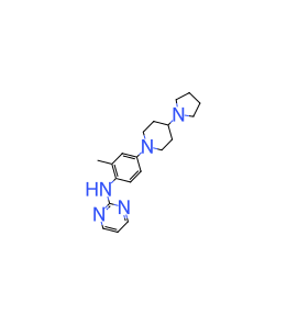 Cc1cc(N2CCC(N3CCCC3)CC2)ccc1Nc1ncccn1